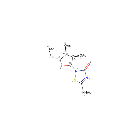 CC(=O)Nc1nc(=O)n([C@@H]2O[C@H](COC(C)=O)[C@@H](OC(C)=O)[C@H]2OC(C)=O)s1